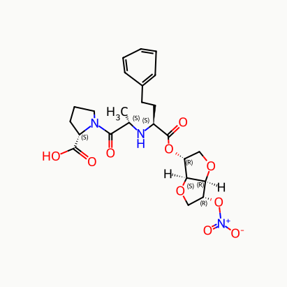 C[C@H](N[C@@H](CCc1ccccc1)C(=O)O[C@@H]1CO[C@@H]2[C@H]1OC[C@H]2O[N+](=O)[O-])C(=O)N1CCC[C@H]1C(=O)O